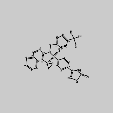 O=c1[nH]c(-c2ccc(S(=O)(=O)N(Cc3ccc(C(F)(F)F)cn3)c3ncc4ccccc4c3C3CC3)cc2)no1